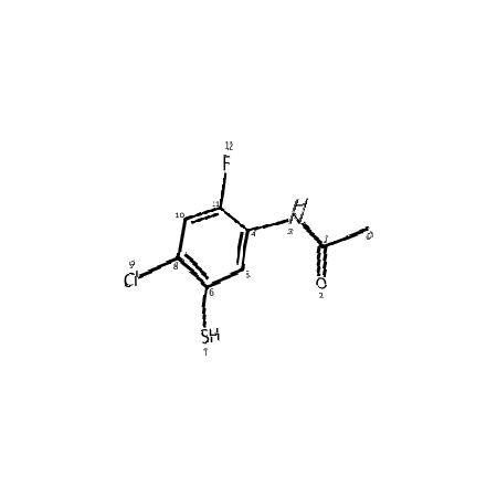 CC(=O)Nc1cc(S)c(Cl)cc1F